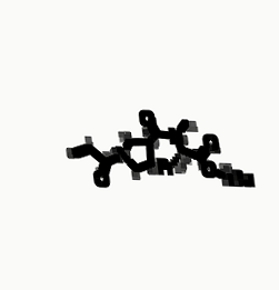 C=CC(=O)N1CC[C@H](C(=O)N(C)[C@H](C(=O)OCCCC)C(C)C)C1